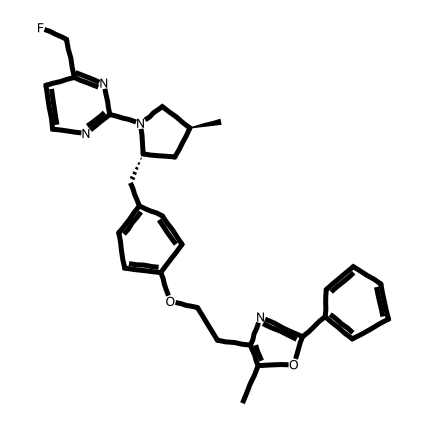 Cc1oc(-c2ccccc2)nc1CCOc1ccc(C[C@H]2C[C@H](C)CN2c2nccc(CF)n2)cc1